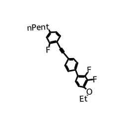 CCCCCc1ccc(C#Cc2ccc(-c3ccc(OCC)c(F)c3F)cc2)c(F)c1